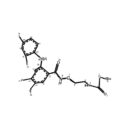 CC(C)(C)OC(=O)NCCONC(=O)c1cc(F)c(F)cc1Nc1ccc(I)cc1F